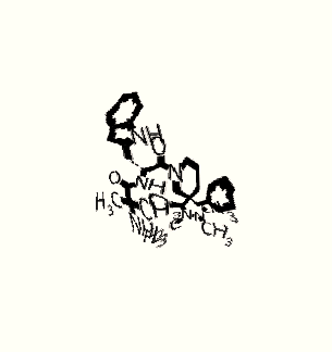 CN(C)N(C)C(=O)[C@@]1(Cc2ccccc2)CCCN(C(=O)[C@@H](Cc2cc3ccccc3[nH]2)NC(=O)C(C)(C)N)C1